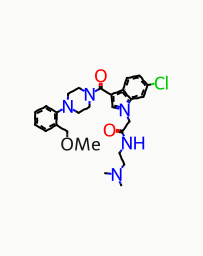 COCc1ccccc1N1CCN(C(=O)c2cn(CC(=O)NCCN(C)C)c3cc(Cl)ccc23)CC1